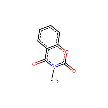 Cn1c(=O)oc2ccccc2c1=O